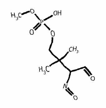 COP(=O)(O)OCC(C)(C)C(C=O)N=O